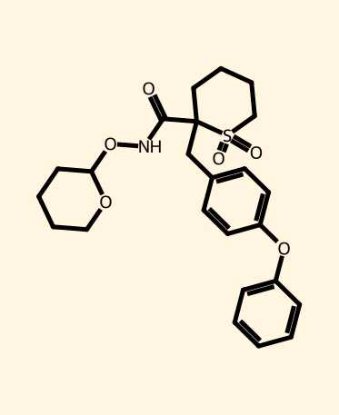 O=C(NOC1CCCCO1)C1(Cc2ccc(Oc3ccccc3)cc2)CCCCS1(=O)=O